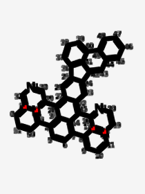 c1ccc(-c2ccc(-c3ccccc3)c3c(-c4cnccn4)c4cc5c(cc4c(-c4cnccn4)c23)-c2cccc3c2c-5cc2ccccc23)cc1